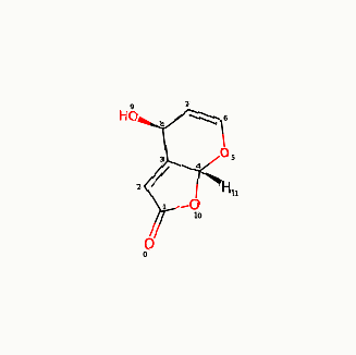 O=C1C=C2[C@H](OC=C[C@@H]2O)O1